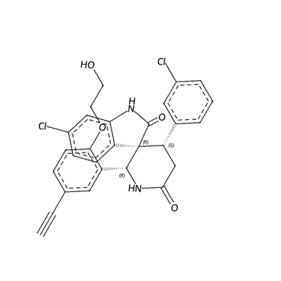 C#Cc1ccc(OCCO)c([C@H]2NC(=O)C[C@@H](c3cccc(Cl)c3)[C@]23C(=O)Nc2cc(Cl)ccc23)c1